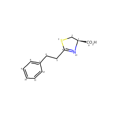 O=C(O)[C@@H]1CSC(CCc2ccccc2)=N1